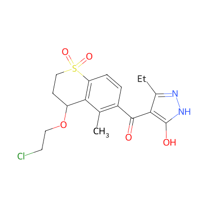 CCc1n[nH]c(O)c1C(=O)c1ccc2c(c1C)C(OCCCl)CCS2(=O)=O